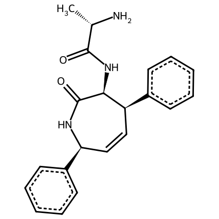 C[C@H](N)C(=O)N[C@@H]1C(=O)N[C@H](c2ccccc2)C=C[C@@H]1c1ccccc1